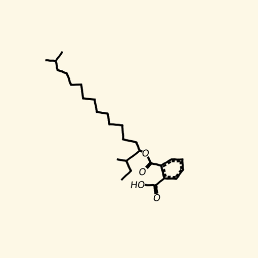 CCC(C)C(CCCCCCCCCCCCC(C)C)OC(=O)c1ccccc1C(=O)O